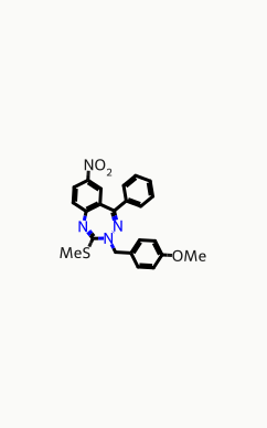 COc1ccc(CN2N=C(c3ccccc3)c3cc([N+](=O)[O-])ccc3N=C2SC)cc1